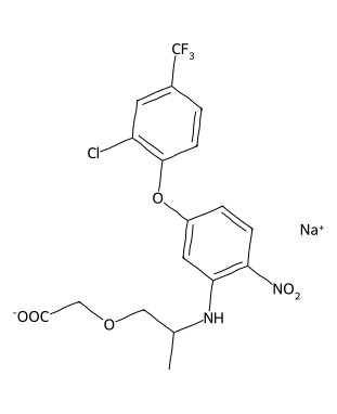 CC(COCC(=O)[O-])Nc1cc(Oc2ccc(C(F)(F)F)cc2Cl)ccc1[N+](=O)[O-].[Na+]